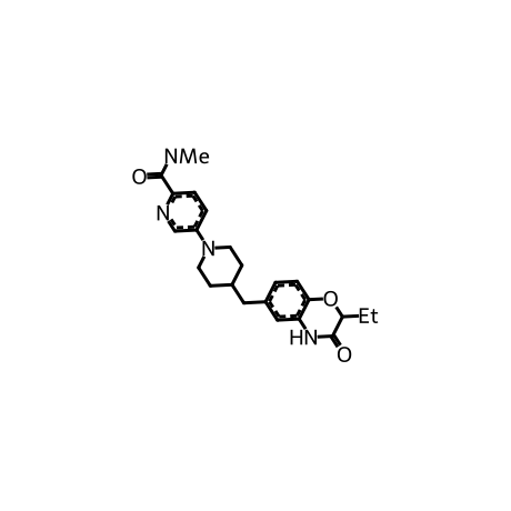 CCC1Oc2ccc(CC3CCN(c4ccc(C(=O)NC)nc4)CC3)cc2NC1=O